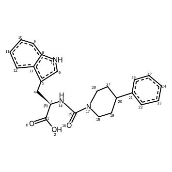 O=C(O)[C@@H](Cc1c[nH]c2ccccc12)NC(=O)N1CCC(c2ccccc2)CC1